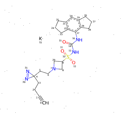 C#CCCC1(CCN2CC(S(=O)(=O)NC(=O)Nc3c4c(cc5c3CCC5)CCC4)C2)N=N1.[K]